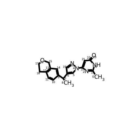 Cc1nc(-n2cc(C(C)c3ccc4c(c3)COCC4)cn2)cc(=O)[nH]1